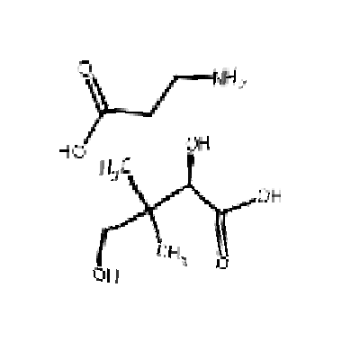 CC(C)(CO)[C@@H](O)C(=O)O.NCCC(=O)O